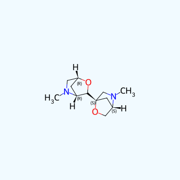 CN1C[C@]2(C3O[C@@H]4C[C@H]3N(C)C4)C[C@H]1CO2